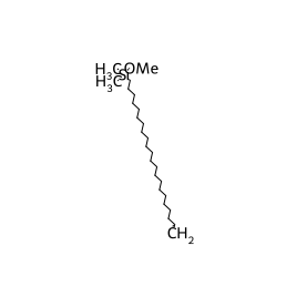 C=CCCCCCCCCCCCCCCCCCCCC[Si](C)(C)OC